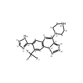 FC(F)(F)c1cc2c(cc1-c1ncn[nH]1)nc(N1CCNCC1)c1nnnn12